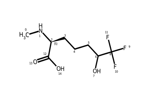 CN[C@@H](CCCC(O)C(F)(F)F)C(=O)O